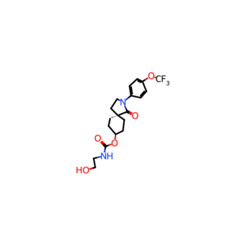 O=C(NCCO)O[C@H]1CC[C@@]2(CCN(c3ccc(OC(F)(F)F)cc3)C2=O)CC1